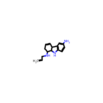 C=CCNC1CC=CC2c3cc(N)ccc3NC12